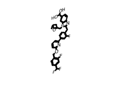 OC(O)c1ccc2nc(Cc3ccc(-c4cccc(OCc5ccc(C(F)F)cc5F)n4)cc3F)n(CC34CC(CO3)C4)c2c1